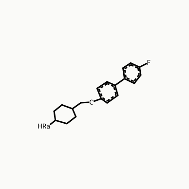 Fc1ccc(-c2ccc(CCC3CC[CH]([RaH])CC3)cc2)cc1